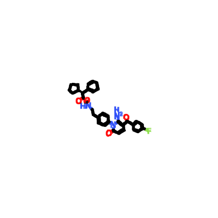 Nc1c(C(=O)c2ccc(F)cc2)ccc(=O)n1-c1ccc(CCNOC(=O)[C@H](c2ccccc2)C2CCCC2)cc1